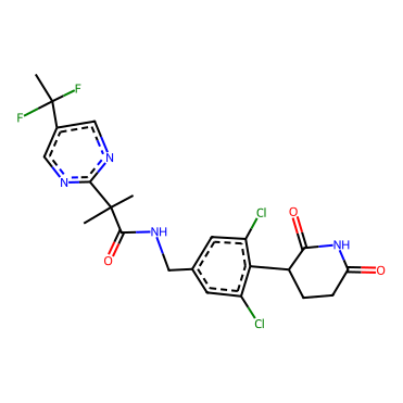 CC(F)(F)c1cnc(C(C)(C)C(=O)NCc2cc(Cl)c(C3CCC(=O)NC3=O)c(Cl)c2)nc1